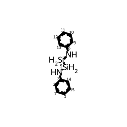 c1ccc(N[SiH2][SiH2]Nc2ccccc2)cc1